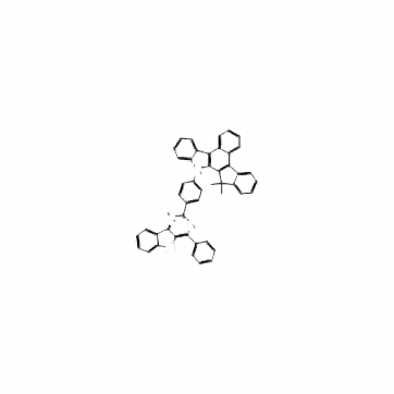 CC1(C)c2ccccc2-c2c1c1c(c3ccccc23)c2ccccc2n1-c1ccc(-c2nc(-c3ccccc3)c3oc4ccccc4c3n2)cc1